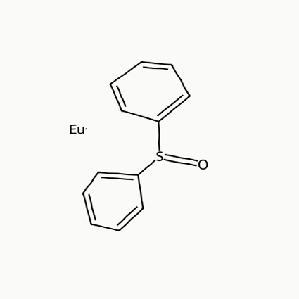 O=S(c1ccccc1)c1ccccc1.[Eu]